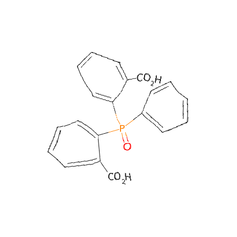 O=C(O)c1ccccc1P(=O)(c1ccccc1)c1ccccc1C(=O)O